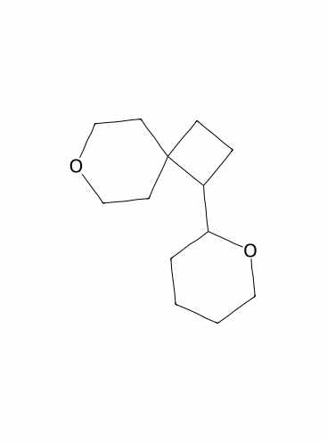 C1CCC(C2CCC23CCOCC3)OC1